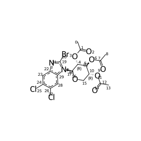 CC(=O)O[C@@H]1[C@@H](OC(C)=O)[C@H](OC(C)=O)CO[C@H]1n1c(Br)nc2cc(Cl)c(Cl)cc21